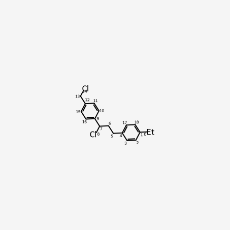 CCc1ccc(CCC(Cl)c2ccc(CCl)cc2)cc1